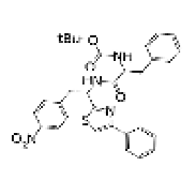 CC(C)(C)OC(=O)N[C@@H](Cc1ccccc1)C(=O)N[C@@H](Cc1ccc([N+](=O)[O-])cc1)c1nc(-c2ccccc2)cs1